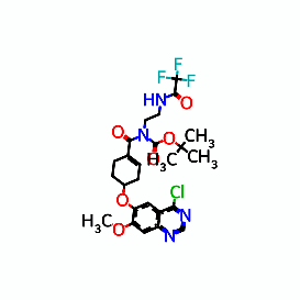 COc1cc2ncnc(Cl)c2cc1O[C@@H]1CC=C(C(=O)N(CCNC(=O)C(F)(F)F)C(=O)OC(C)(C)C)CC1